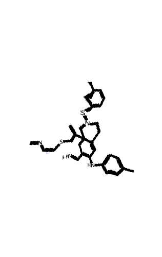 C=N/C=C\SCC(=C)C12CC(C=N)=C(Nc3ccc(C)cc3)C=C1CCN(Sc1cccc(C)c1)C2